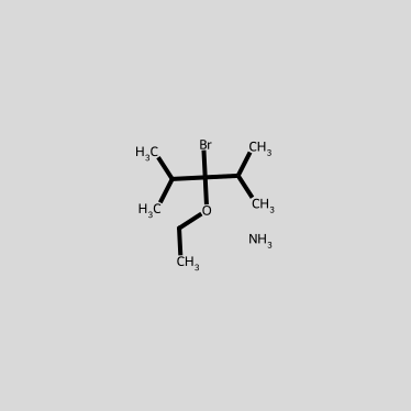 CCOC(Br)(C(C)C)C(C)C.N